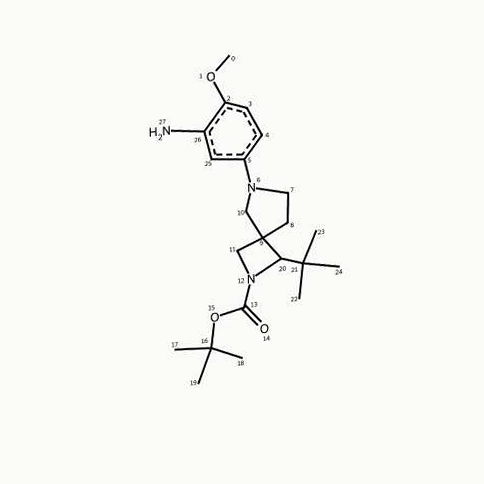 COc1ccc(N2CCC3(C2)CN(C(=O)OC(C)(C)C)C3C(C)(C)C)cc1N